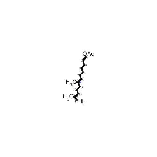 CC(=O)OC=CCCCC/C=C(\C)CCC=C(C)C